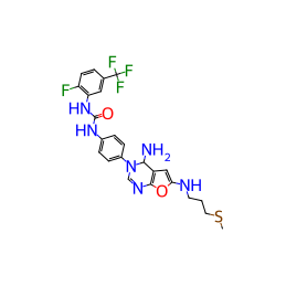 CSCCCNc1cc2c(o1)N=CN(c1ccc(NC(=O)Nc3cc(C(F)(F)F)ccc3F)cc1)C2N